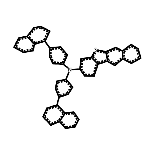 c1ccc2cc3c(cc2c1)sc1cc(N(c2ccc(-c4cccc5ccccc45)cc2)c2ccc(-c4cccc5ccccc45)cc2)ccc13